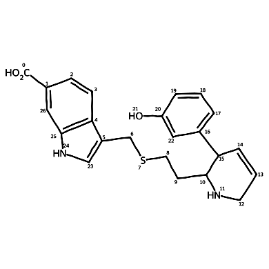 O=C(O)c1ccc2c(CSCCC3NCC=CC3c3cccc(O)c3)c[nH]c2c1